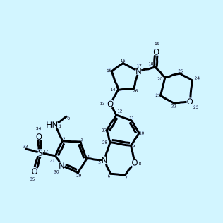 CNc1cc(N2CCOc3ccc(OC4CCN(C(=O)C5CCOCC5)C4)cc32)cnc1S(C)(=O)=O